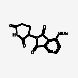 CC(=O)Nc1cccc2c1C(=O)N(C1CCC(=O)NC1=O)C2=O